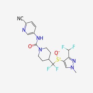 Cn1cc([S+]([O-])C(F)(F)C2CCN(C(=O)Nc3ccc(C#N)nc3)CC2)c(C(F)F)n1